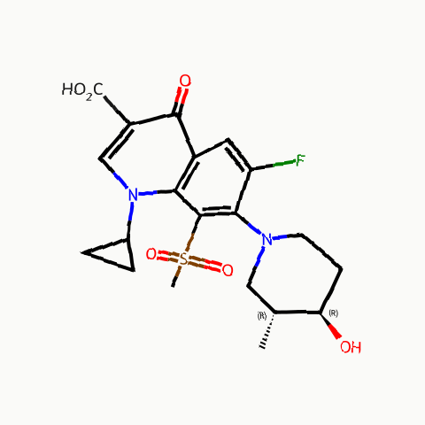 C[C@@H]1CN(c2c(F)cc3c(=O)c(C(=O)O)cn(C4CC4)c3c2S(C)(=O)=O)CC[C@H]1O